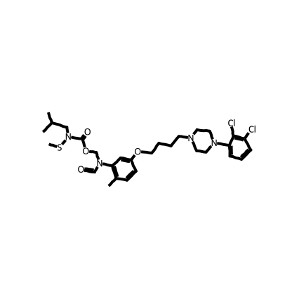 CSN(CC(C)C)C(=O)OCN(C=O)c1cc(OCCCCN2CCN(c3cccc(Cl)c3Cl)CC2)ccc1C